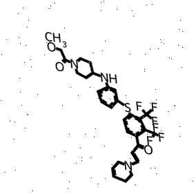 COCC(=O)N1CCC(Nc2cccc(Sc3ccc(C(=O)C=CN4CC=CCC4)c(C(F)(F)F)c3C(F)(F)F)c2)CC1